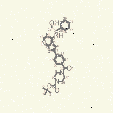 CC(C)(C)OC(=O)N1CCN(C(=O)c2ccc(-c3cc4c(N[C@H](CO)c5ccccc5)ncnc4s3)cc2)CC1